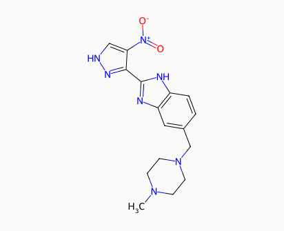 CN1CCN(Cc2ccc3[nH]c(-c4n[nH]cc4[N+](=O)[O-])nc3c2)CC1